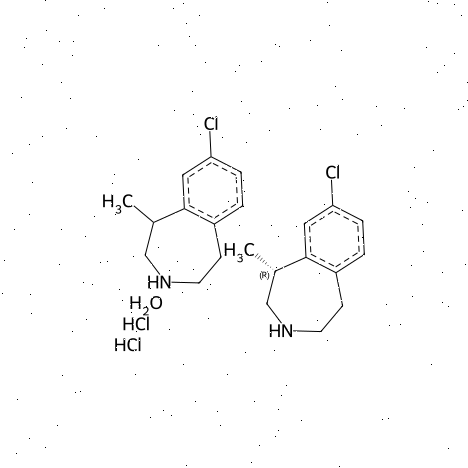 CC1CNCCc2ccc(Cl)cc21.C[C@H]1CNCCc2ccc(Cl)cc21.Cl.Cl.O